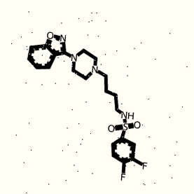 O=S(=O)(NCCCCN1CCN(c2noc3ccccc23)CC1)c1ccc(F)c(F)c1